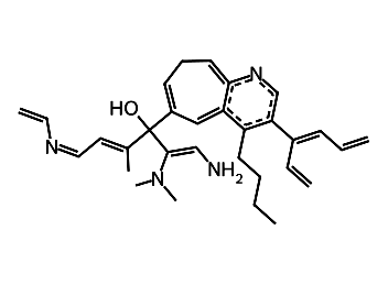 C=C/C=C(\C=C)c1cnc2c(c1CCCC)=CC(C(O)(/C(=C/N)N(C)C)/C(C)=C/C=N\C=C)=CCC=2